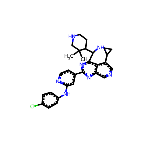 CC1(C)CNCCC1C(N)c1nc(-c2ccnc(Nc3ccc(Cl)cc3)c2)nc2cncc(C3CC3)c12